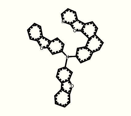 c1ccc2c(c1)oc1cc(N(c3ccc4c(c3)oc3ccccc34)c3ccc4ccc5ccc6c7cccnc7oc6c5c4c3)ccc12